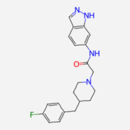 O=C(CN1CCC(Cc2ccc(F)cc2)CC1)Nc1ccc2cn[nH]c2c1